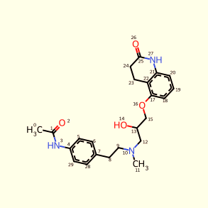 CC(=O)Nc1ccc(CCN(C)CC(O)COc2cccc3c2CCC(=O)N3)cc1